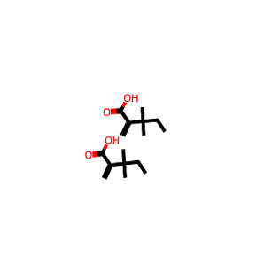 C=C(C(=O)O)C(C)(C)CC.C=C(C(=O)O)C(C)(C)CC